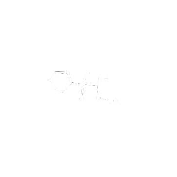 CC(OS(=O)(=O)O)S(=O)(=O)c1ccccc1